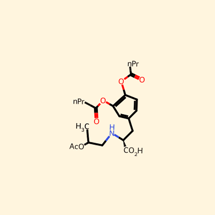 CCCC(=O)Oc1ccc(C[C@H](NCC(C)OC(C)=O)C(=O)O)cc1OC(=O)CCC